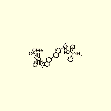 COC(=O)NCC(=O)N1CCC[C@H]1c1nc2ccc3cc(-c4ccc5cc(-c6cnc([C@@H]7CCCN7C(=O)[C@H](N)c7ccccc7)[nH]6)ccc5c4)ccc3c2[nH]1